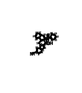 N#Cc1ccc2cc(C(=O)O)n(Cc3cc(S(=O)(=O)c4ccccc4)cc4ccccc34)c2c1